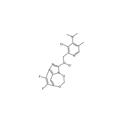 Cc1cnc(C[S+]([O-])c2nc3c(F)c(F)c4cc3n2OCO4)c(Cl)c1N(C)C